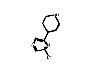 Brc1cncc(C2CCNCC2)n1